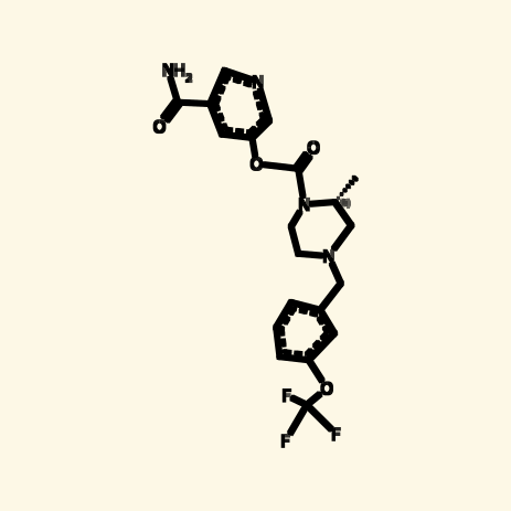 C[C@@H]1CN(Cc2cccc(OC(F)(F)F)c2)CCN1C(=O)Oc1cncc(C(N)=O)c1